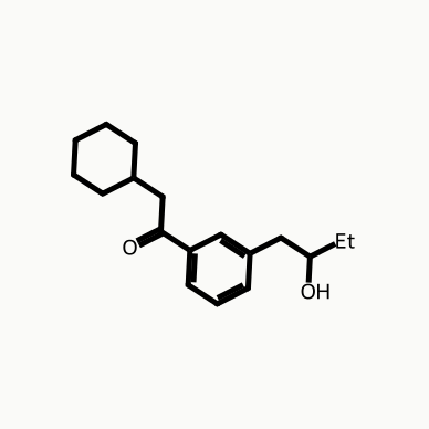 CCC(O)Cc1cccc(C(=O)CC2CCCCC2)c1